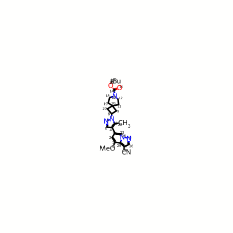 COc1cc(-c2cnn(C3CC4(CCN(C(=O)OC(C)(C)C)CC4)C3)c2C)cn2ncc(C#N)c12